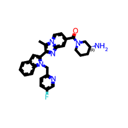 Cc1c(-c2cc3ccccc3n2Cc2ccc(F)cn2)nc2cc(C(=O)N3CCC[C@@H](N)C3)ccn12